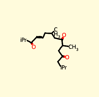 CC(C)CC(=O)CC(C)C(=O)CC(C)C/C=C/C(=O)C(C)C